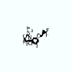 C[C@]1(c2cccc(OCC3CC3(F)F)c2)N=C(N)OCC1(F)F